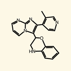 Cc1cnccc1-c1nc2ncccn2c1C1CNc2ccccc2O1